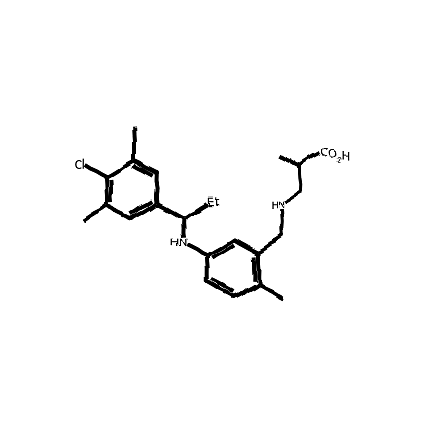 CCC(Nc1ccc(C)c(CNCC(C)C(=O)O)c1)c1cc(C)c(Cl)c(C)c1